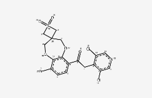 CCCc1ccc(C(=O)Cc2c(Cl)cncc2Cl)c2c1OCC1(CO2)CS(=O)(=O)C1